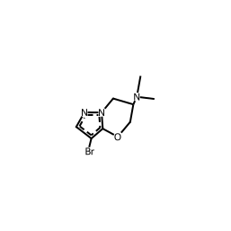 CN(C)C1COc2c(Br)cnn2C1